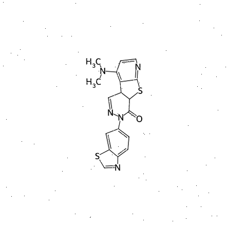 CN(C)c1ccnc2c1C1C=NN(c3ccc4ncsc4c3)C(=O)C1S2